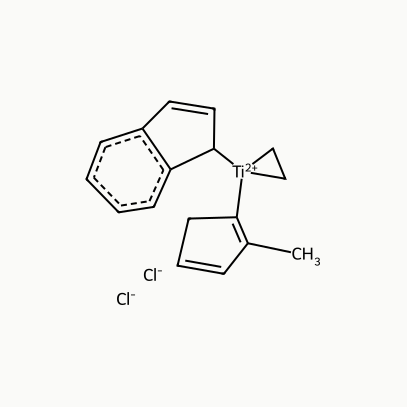 CC1=[C]([Ti+2]2([CH]3C=Cc4ccccc43)[CH2][CH2]2)CC=C1.[Cl-].[Cl-]